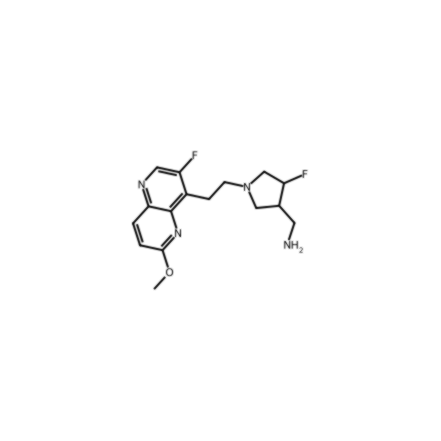 COc1ccc2ncc(F)c(CCN3CC(F)C(CN)C3)c2n1